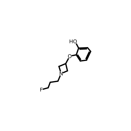 Oc1ccccc1OC1CN(CCCF)C1